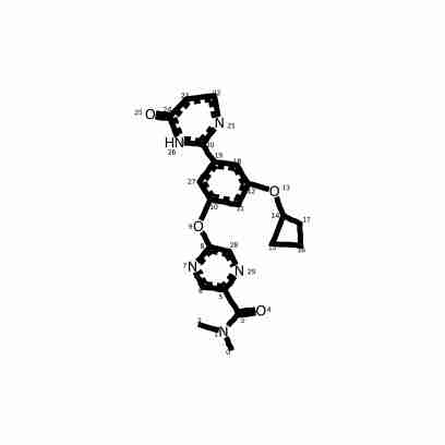 CN(C)C(=O)c1cnc(Oc2cc(OC3CCC3)cc(-c3nccc(=O)[nH]3)c2)cn1